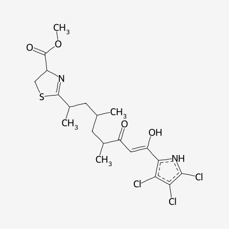 COC(=O)C1CSC(C(C)CC(C)CC(C)C(=O)/C=C(\O)c2[nH]c(Cl)c(Cl)c2Cl)=N1